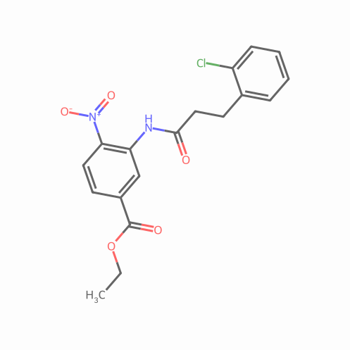 CCOC(=O)c1ccc([N+](=O)[O-])c(NC(=O)CCc2ccccc2Cl)c1